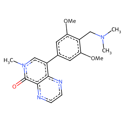 COc1cc(-c2cn(C)c(=O)c3nccnc23)cc(OC)c1CN(C)C